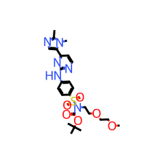 COCCOCCN(C(=O)OC(C)(C)C)S(=O)(=O)c1ccc(Nc2nccc(-c3cnc(C)n3C)n2)cc1